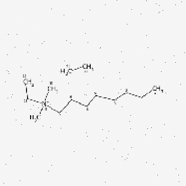 CCCCCCCC[N+](C)(C)CC.[CH2]C